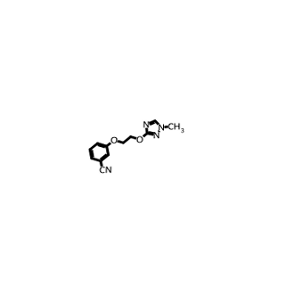 Cn1cnc(OCCOc2cccc(C#N)c2)n1